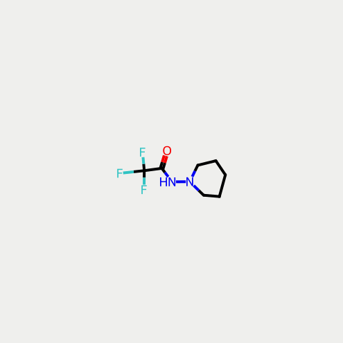 O=C(NN1CCCCC1)C(F)(F)F